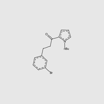 CCCCn1cccc1C(=O)CCc1cccc(Br)c1